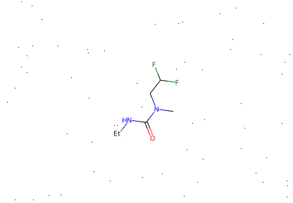 CCNC(=O)N(C)CC(F)F